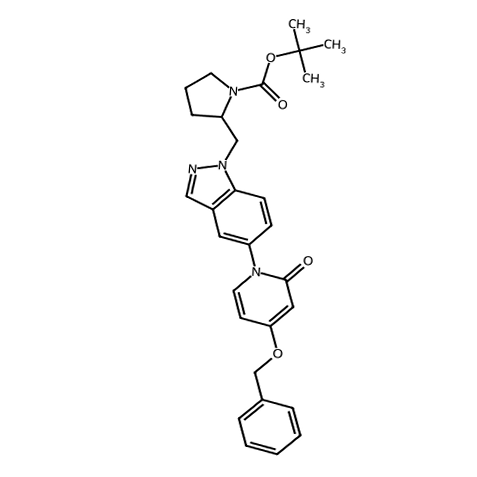 CC(C)(C)OC(=O)N1CCCC1Cn1ncc2cc(-n3ccc(OCc4ccccc4)cc3=O)ccc21